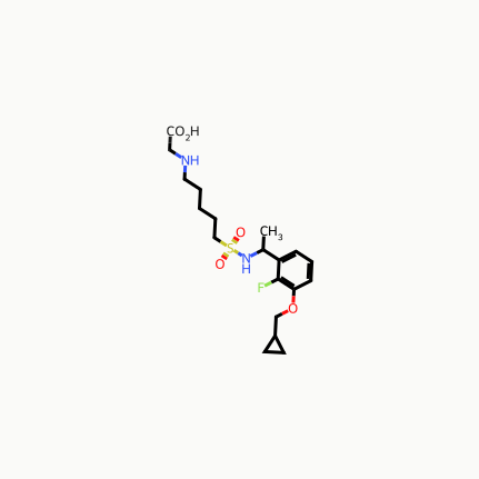 CC(NS(=O)(=O)CCCCCNCC(=O)O)c1cccc(OCC2CC2)c1F